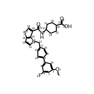 COc1cc(F)cc(-c2ccc(Cn3ccc4scc(C(=O)NC5CCC(C(=O)O)CC5)c43)cc2)c1